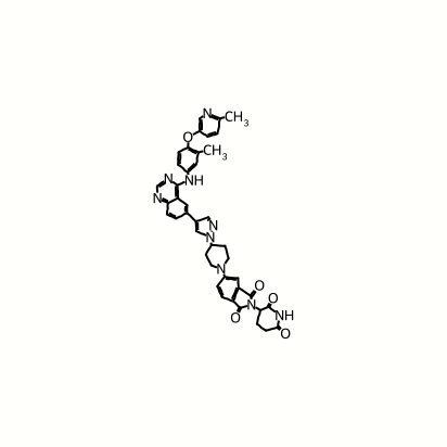 Cc1ccc(Oc2ccc(Nc3ncnc4ccc(-c5cnn(C6CCN(c7ccc8c(c7)C(=O)N(C7CCC(=O)NC7=O)C8=O)CC6)c5)cc34)cc2C)cn1